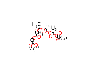 CC(=O)[O-].CC(=O)[O-].CC(=O)[O-].CC(=O)[O-].CC(=O)[O-].[Mg+2].[Na+].[O]=[U+2]=[O]